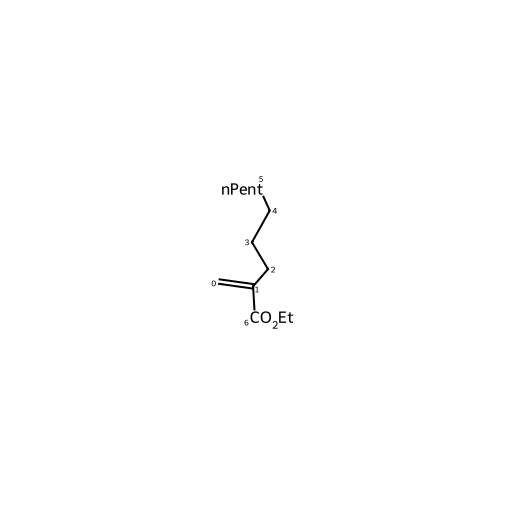 C=C(CCCCCCCC)C(=O)OCC